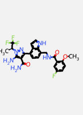 COc1ccc(F)cc1C(=O)NCc1ccc(-c2nn([C@@H](C)C(F)(F)F)c(N)c2C(N)=O)c2cc[nH]c12